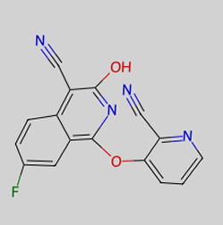 N#Cc1ncccc1Oc1nc(O)c(C#N)c2ccc(F)cc12